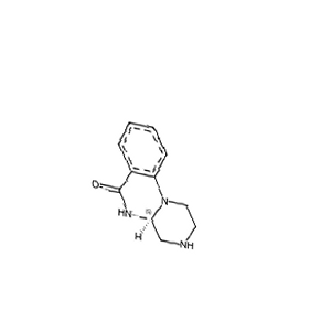 O=C1N[C@@H]2CNCCN2c2ccccc21